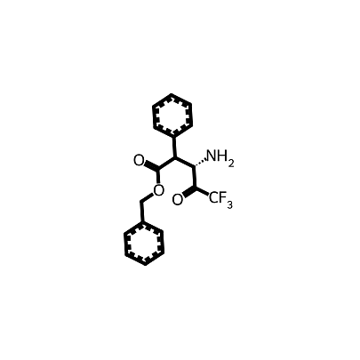 N[C@H](C(=O)C(F)(F)F)C(C(=O)OCc1ccccc1)c1ccccc1